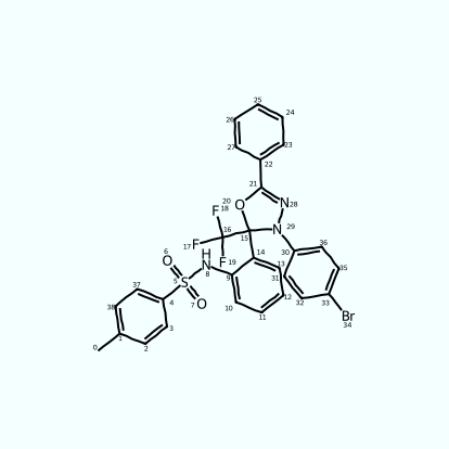 Cc1ccc(S(=O)(=O)Nc2ccccc2C2(C(F)(F)F)OC(c3ccccc3)=NN2c2ccc(Br)cc2)cc1